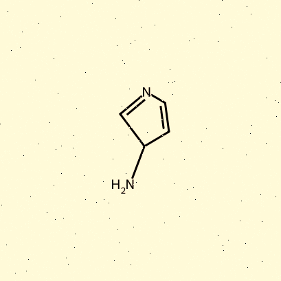 NC1C=CN=C1